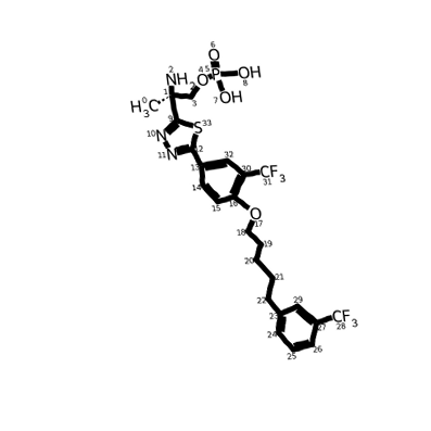 C[C@](N)(COP(=O)(O)O)c1nnc(-c2ccc(OCCCCCc3cccc(C(F)(F)F)c3)c(C(F)(F)F)c2)s1